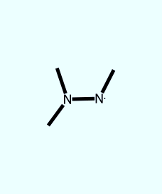 C[N]N(C)C